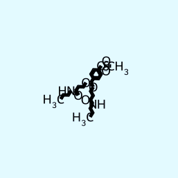 CCCNC(=O)CCOC(OCCC(=O)NCCC)c1ccc(OS(C)(=O)=O)cc1